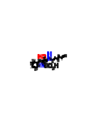 C=CCCCCNC[C@H](O)[C@H](Cc1ccccc1)NC(=O)O